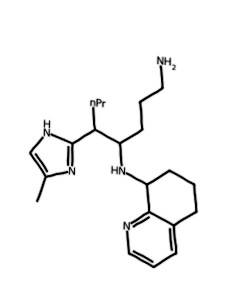 CCCC(c1nc(C)c[nH]1)C(CCCN)NC1CCCc2cccnc21